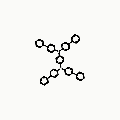 C1=CC(c2ccccc2)CC=C1N(c1ccc(-c2ccccc2)cc1)c1ccc(N(c2ccc(-c3ccccc3)cc2)c2ccc(-c3ccccc3)cc2)cc1